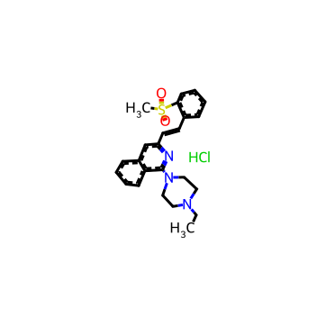 CCN1CCN(c2nc(C=Cc3ccccc3S(C)(=O)=O)cc3ccccc23)CC1.Cl